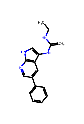 C=C(NCC)Nc1c[nH]c2ncc(-c3ccccc3)cc12